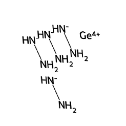 [Ge+4].[NH-]N.[NH-]N.[NH-]N.[NH-]N